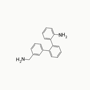 NCc1cccc(-c2ccccc2-c2ccccc2N)c1